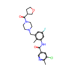 Cc1ncc(C(=O)Nc2cc(F)cc(CN3CCN(C(=O)C4CCOC4)CC3)c2C)cc1Cl